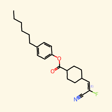 CCCCCCc1ccc(OC(=O)C2CCC(/C=C(/F)C#N)CC2)cc1